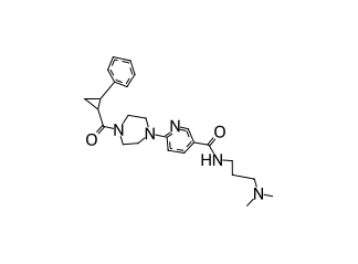 CN(C)CCCNC(=O)c1ccc(N2CCN(C(=O)C3CC3c3ccccc3)CC2)nc1